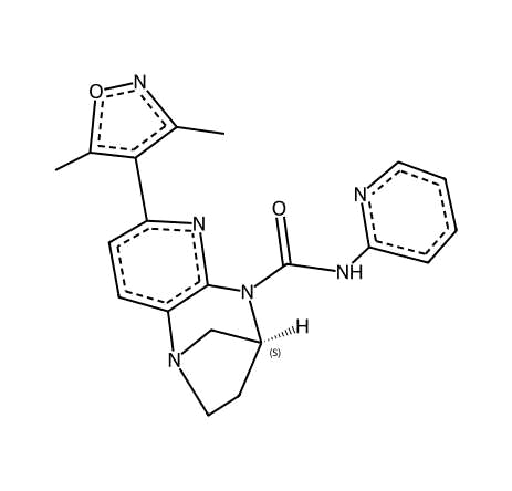 Cc1noc(C)c1-c1ccc2c(n1)N(C(=O)Nc1ccccn1)[C@H]1CCN2C1